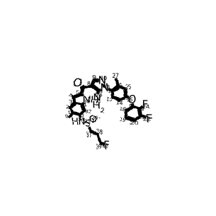 Cc1cc2cc(C(=O)c3cnn(-c4ccc(Oc5cccc(F)c5F)cc4C)c3N)[nH]c2cc1N[S+]([O-])CCCF